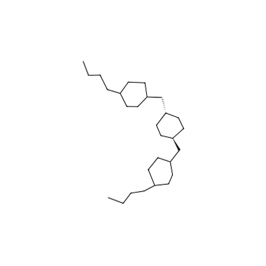 CCCCC1CCC(C[C@H]2CC[C@H](CC3CCC(CCCC)CC3)CC2)CC1